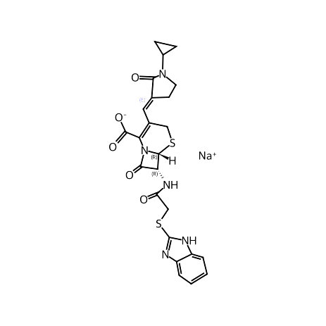 O=C(CSc1nc2ccccc2[nH]1)N[C@@H]1C(=O)N2C(C(=O)[O-])=C(/C=C3\CCN(C4CC4)C3=O)CS[C@H]12.[Na+]